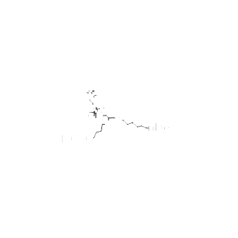 CCCCCCCCCCCCCCCCSCC(COP(=O)(O)OCC[N+](C)(C)C)OCCCCC(=O)O